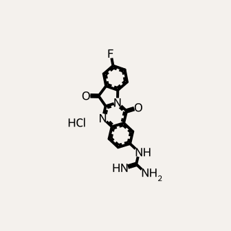 Cl.N=C(N)Nc1ccc2nc3n(c(=O)c2c1)-c1ccc(F)cc1C3=O